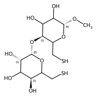 CO[C@@H]1OC(CS)[C@@H](O[C@@H]2OC(CS)[C@@H](O)C(O)[C@@H]2O)C(O)C1O